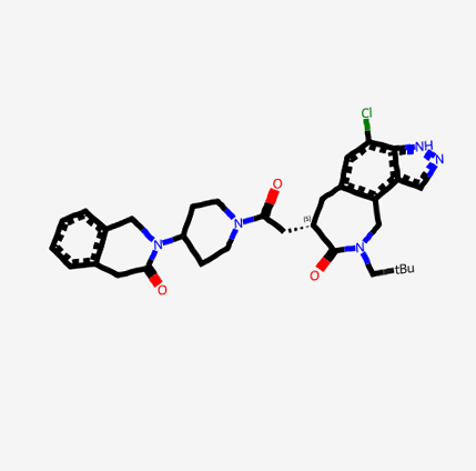 CC(C)(C)CN1Cc2c(cc(Cl)c3[nH]ncc23)C[C@@H](CC(=O)N2CCC(N3Cc4ccccc4CC3=O)CC2)C1=O